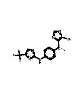 C[C@H](c1ccc(Nc2nc(C(F)(F)F)cs2)cc1)c1ncnn1O